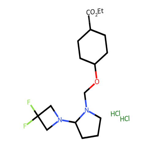 CCOC(=O)C1CCC(OCN2CCCC2N2CC(F)(F)C2)CC1.Cl.Cl